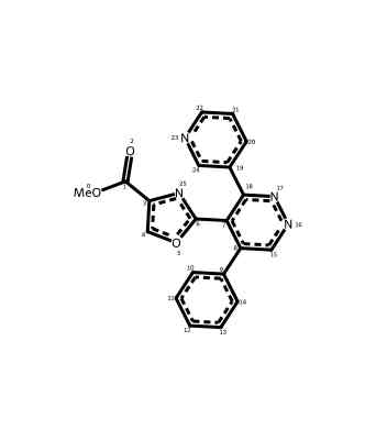 COC(=O)c1coc(-c2c(-c3ccccc3)cnnc2-c2cccnc2)n1